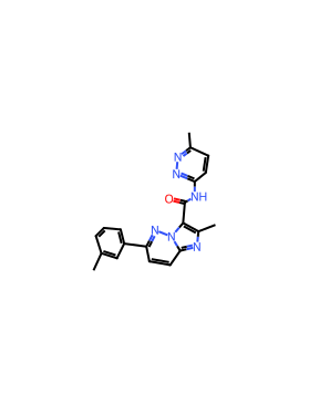 Cc1cccc(-c2ccc3nc(C)c(C(=O)Nc4ccc(C)nn4)n3n2)c1